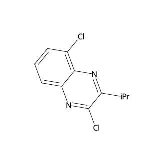 CC(C)c1nc2c(Cl)cccc2nc1Cl